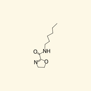 CCCCCCNC(=O)C1=NCCO1